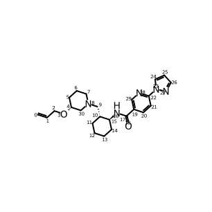 C=CCO[C@@H]1CCCN(C[C@H]2CCCC[C@@H]2NC(=O)c2ccc(-n3cccn3)nc2)C1